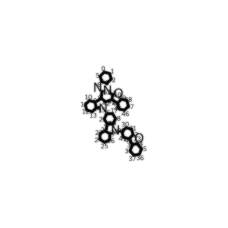 c1ccc2c(c1)nc1c3c4ccccc4n(-c4ccc5c(c4)c4ccccc4n5-c4ccc5oc6ccccc6c5c4)c3c3c4ccccc4oc3n21